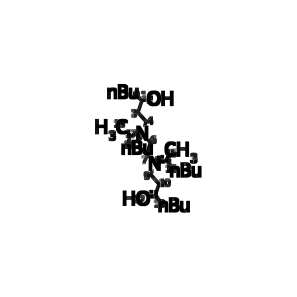 CCCCC(O)CCN(CCN(CCC(O)CCCC)C(C)CCCC)C(C)CCCC